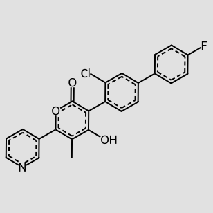 Cc1c(-c2cccnc2)oc(=O)c(-c2ccc(-c3ccc(F)cc3)cc2Cl)c1O